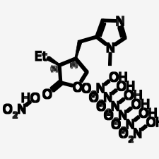 CC[C@@H]1C(=O)OC[C@@H]1Cc1cncn1C.O=[N+]([O-])O.O=[N+]([O-])O.O=[N+]([O-])O.O=[N+]([O-])O.O=[N+]([O-])O.O=[N+]([O-])O.O=[N+]([O-])O